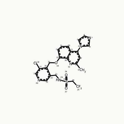 Cc1cc(-n2ccnc2)c2cccc(OCc3c(Cl)cncc3CNS(=O)(=O)CC(F)(F)F)c2n1